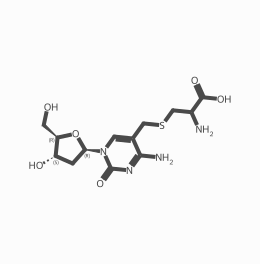 Nc1nc(=O)n([C@H]2C[C@H](O)[C@@H](CO)O2)cc1CSCC(N)C(=O)O